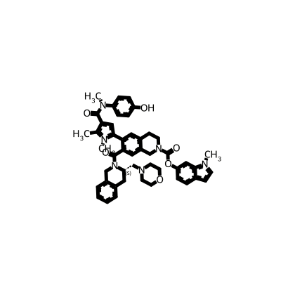 Cc1c(C(=O)N(C)c2ccc(O)cc2)cc(-c2cc3c(cc2C(=O)N2Cc4ccccc4C[C@H]2CN2CCOCC2)CN(C(=O)Oc2ccc4ccn(C)c4c2)CC3)n1C